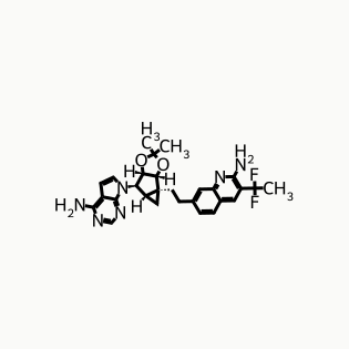 CC1(C)O[C@H]2[C@H](n3ccc4c(N)ncnc43)[C@H]3C[C@]3(CCc3ccc4cc(C(C)(F)F)c(N)nc4c3)[C@H]2O1